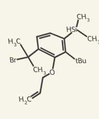 C=CCOc1c(C(C)(C)Br)ccc([SiH](C)C)c1C(C)(C)C